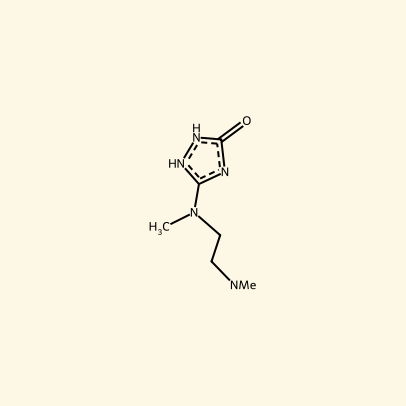 CNCCN(C)c1nc(=O)[nH][nH]1